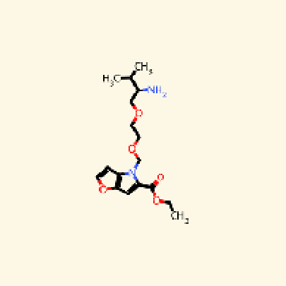 CCOC(=O)c1cc2occc2n1COCCOC[C@H](N)C(C)C